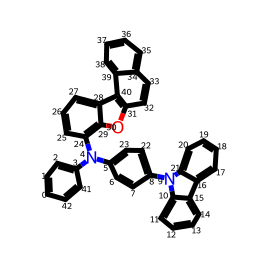 c1ccc(N(c2ccc(-n3c4ccccc4c4ccccc43)cc2)c2cccc3c2oc2ccc4ccccc4c23)cc1